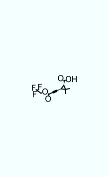 CC1(C)[C@H](C(=O)O)[C@@H]1C#CC(=O)OCC(F)(F)F